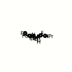 Cc1cc(Oc2cccc(F)c2F)ccc1-n1ncc(C(=O)c2cc3cc(F)c(C4CCN(C(C)C)CC4)cc3[nH]2)c1N